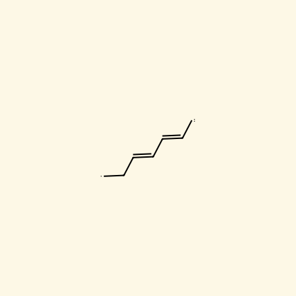 [CH]C=CC=CC[CH2]